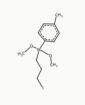 CO[Si](CCCI)(OC)c1ccc(C)cc1